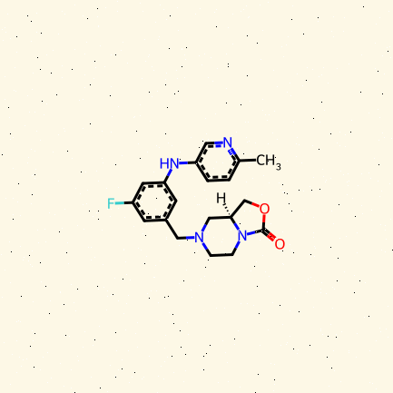 Cc1ccc(Nc2cc(F)cc(CN3CCN4C(=O)OC[C@@H]4C3)c2)cn1